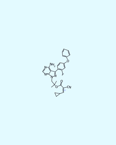 CC(C)(Cn1nc(-c2ccc(Oc3ccccc3)cc2F)c2c(N)ncnc21)OC(=O)/C(C#N)=C\C1CC1